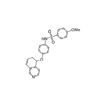 COc1ccc(S(=O)(=O)Nc2ccc(OC3CC=Cc4cnccc43)cc2)cc1